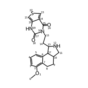 COc1cccc2c1CCC1CNC(CCn3c(=O)[nH]c4cscc4c3=O)C21